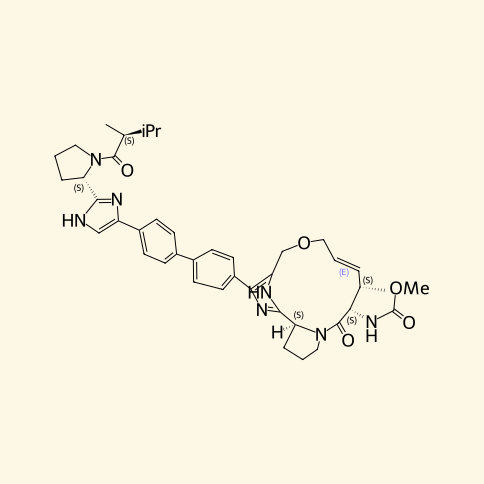 COC(=O)N[C@@H]1C(=O)N2CCC[C@H]2c2nc(-c3ccc(-c4ccc(-c5c[nH]c([C@@H]6CCCN6C(=O)[C@@H](C)C(C)C)n5)cc4)cc3)c([nH]2)COC/C=C/[C@@H]1C